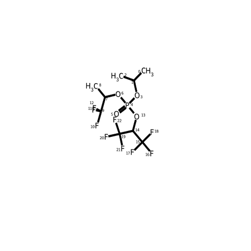 CC(C)OP(=O)(OC(C)C(F)(F)F)OC(C(F)(F)F)C(F)(F)F